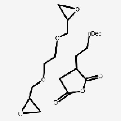 C(COCC1CO1)OCC1CO1.CCCCCCCCCCCCC1CC(=O)OC1=O